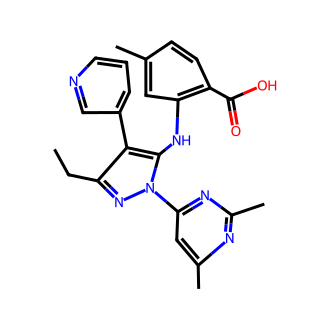 CCc1nn(-c2cc(C)nc(C)n2)c(Nc2cc(C)ccc2C(=O)O)c1-c1cccnc1